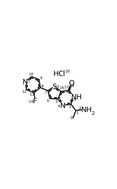 CC(N)c1nc2cc(-c3ccncc3F)sc2c(=O)[nH]1.Cl